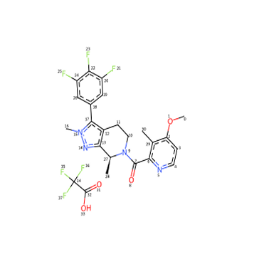 COc1ccnc(C(=O)N2CCc3c(nn(C)c3-c3cc(F)c(F)c(F)c3)[C@@H]2C)c1C.O=C(O)C(F)(F)F